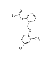 CCC(=O)Oc1ccccc1COc1ccc(C)cc1C